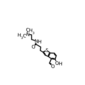 CN(C)CCNC(=O)CCc1cc2c(C=O)c(O)ccc2s1